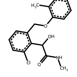 CNC(=O)C(O)c1c(Cl)cccc1COc1ccccc1C